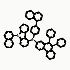 c1ccc(-c2c(-c3ccccc3)c3cc(N(c4ccc(-c5cccc6ccccc56)cc4)c4cccc5c4c4ccccc4n5-c4cccc5ccccc45)ccc3c3ccccc23)cc1